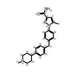 Cc1cc(C(N)=O)nn1-c1ccc(Cc2ccc(C3CCN(C)CC3)cc2)cc1